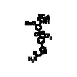 CO[C@H]1C[C@@H](S(=O)(=O)c2ccc(-c3cnn(CC(N)=O)c3)cc2C(F)(F)F)CC1C(=O)NC1(C#N)CC1